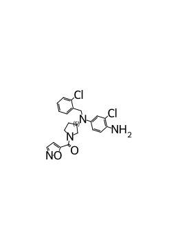 Nc1ccc(N(Cc2ccccc2Cl)[C@H]2CCN(C(=O)c3ccno3)C2)cc1Cl